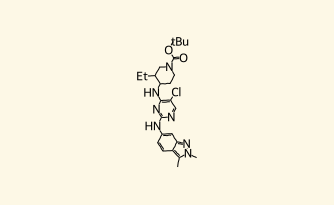 CCC1CN(C(=O)OC(C)(C)C)CCC1Nc1nc(Nc2ccc3c(C)n(C)nc3c2)ncc1Cl